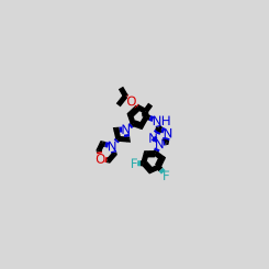 Cc1c(Nc2ncn(-c3cc(F)cc(F)c3)n2)cc(N2CC(N3CCOCC3)C2)cc1OC(C)C